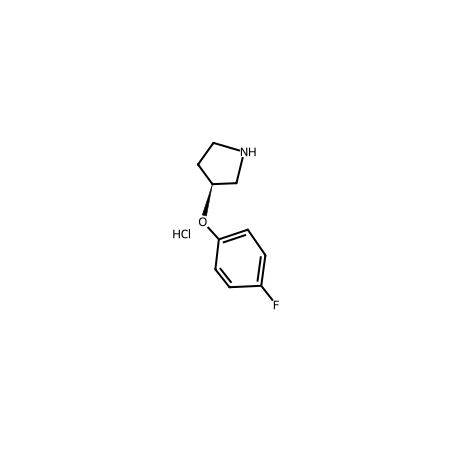 Cl.Fc1ccc(O[C@H]2CCNC2)cc1